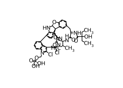 CCC(O)(CC)C(=O)N[C@H]1Cc2ccc3c(c2)C24c5cccc(c5NC2O3)-c2cccc3c2c(c(Cl)n3COP(=O)(O)O)-c2oc(nc2Cl)-c2nc(oc24)C(C(C)C)NC1=O